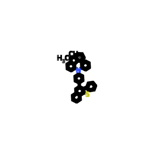 CC1(C)c2ccccc2-c2c(N(c3ccccc3)c3ccc(-c4cc5ccccc5c5sc6ccccc6c45)cc3)cccc21